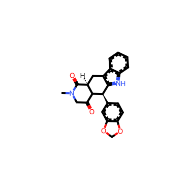 CN1CC(=O)C2[C@H](c3ccc4c(c3)OCO4)c3[nH]c4ccccc4c3C[C@@H]2C1=O